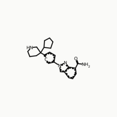 NC(=O)c1cccc2cn(-c3ccc(C4(C5CCCC5)CCCNC4)cc3)nc12